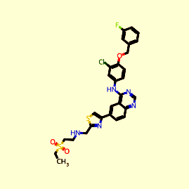 CCS(=O)(=O)CCNCc1nc(-c2ccc3ncnc(Nc4ccc(OCc5cccc(F)c5)c(Cl)c4)c3c2)cs1